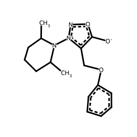 CC1CCCC(C)N1[n+]1noc([O-])c1COc1ccccc1